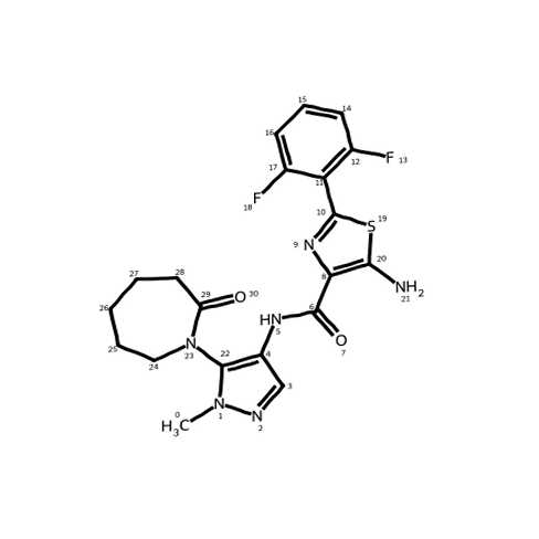 Cn1ncc(NC(=O)c2nc(-c3c(F)cccc3F)sc2N)c1N1CCCCCC1=O